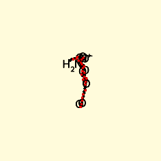 C=CC(=O)OCCCCCCCCCCCOc1ccc(-c2ccc(OC(=O)c3ccc(-c4cc([N+](=O)[O-])c(OC(C)CCCCCC)cc4N)cc3)cc2)cc1